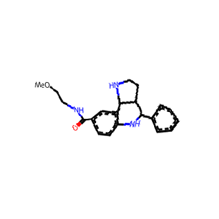 COCCNC(=O)c1ccc2c(c1)C1NCCC1C(c1ccccc1)N2